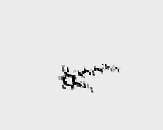 CCCOCCOCCOc1c(C)cccc1CC